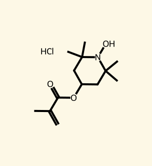 C=C(C)C(=O)OC1CC(C)(C)N(O)C(C)(C)C1.Cl